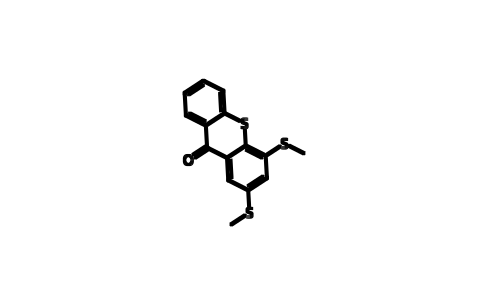 CSc1cc(SC)c2sc3ccccc3c(=O)c2c1